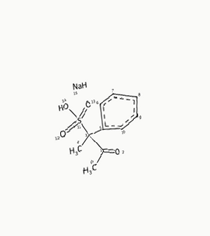 CC(=O)C(C)(c1ccccc1)S(=O)(=O)O.[NaH]